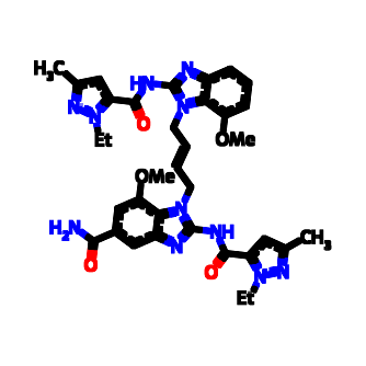 CCn1nc(C)cc1C(=O)Nc1nc2cccc(OC)c2n1C/C=C/Cn1c(NC(=O)c2cc(C)nn2CC)nc2cc(C(N)=O)cc(OC)c21